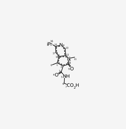 Cc1c(C(=O)NCC(=O)O)c(=O)n(C)c2cnc(C(C)C)cc12